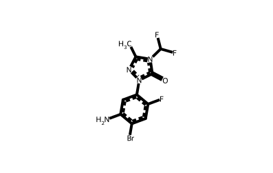 Cc1nn(-c2cc(N)c(Br)cc2F)c(=O)n1C(F)F